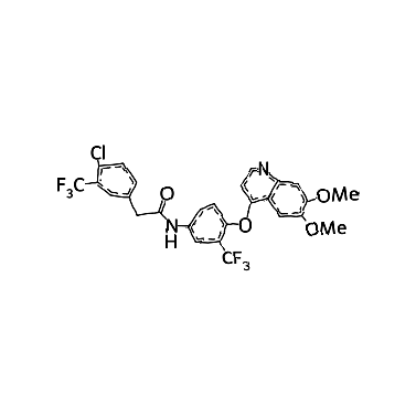 COc1cc2nccc(Oc3ccc(NC(=O)Cc4ccc(Cl)c(C(F)(F)F)c4)cc3C(F)(F)F)c2cc1OC